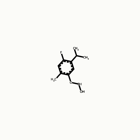 Cc1cc(F)c(C(C)C)cc1OBO